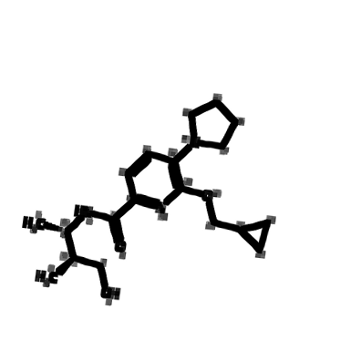 C[C@H](CO)[C@H](C)NC(=O)c1ccc(N2CCCC2)c(OCC2CC2)n1